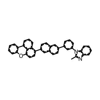 Cc1nc2ccccc2n1-c1cccc(-c2ccc3cc(-c4ccc5c6c(cccc46)-c4ccccc4O5)ccc3c2)c1